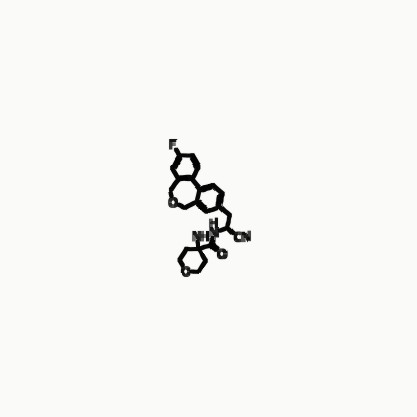 N#CC(Cc1ccc2c(c1)COCc1cc(F)ccc1-2)NC(=O)C1(N)CCOCC1